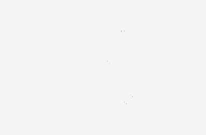 COCC(C)(C)c1c(C)c2cc3[nH]ncc3cc2n1-c1ccc(F)cc1